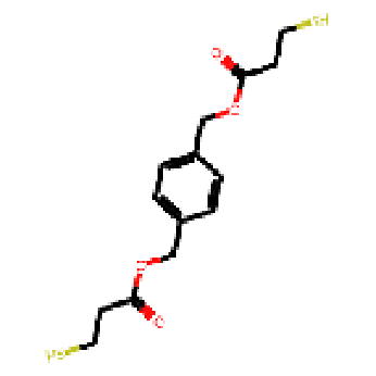 O=C(CCS)OCc1ccc(COC(=O)CCS)cc1